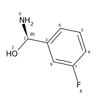 N[C@H](O)c1cccc(F)c1